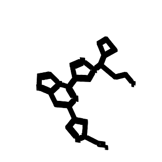 Cn1cc(-c2cc3nccn3c(-c3cnn(C(CCF)C4CCC4)c3)n2)cn1